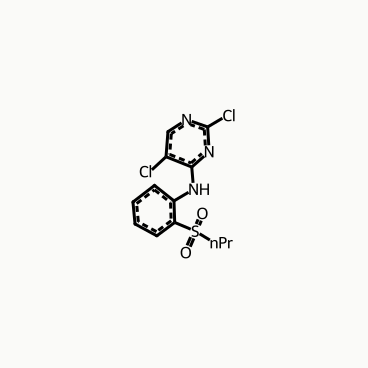 CCCS(=O)(=O)c1ccccc1Nc1nc(Cl)ncc1Cl